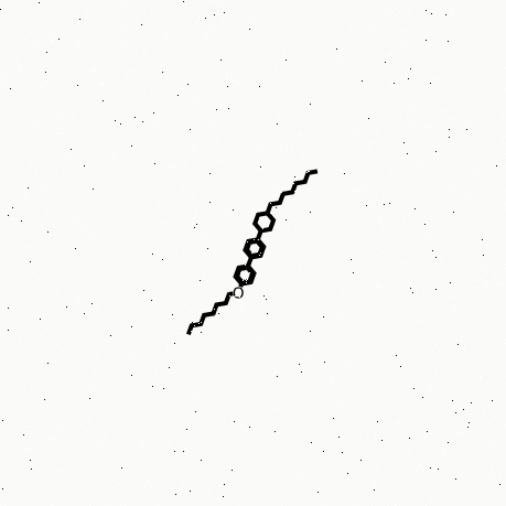 CCCCCCCCOc1ccc(-c2ccc(C3CCC(CCCCCCCC)CC3)cc2)cc1